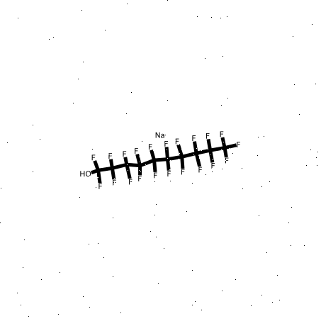 OC(F)(F)C(F)(F)C(F)(F)C(F)(F)C(F)(F)C(F)(F)C(F)(F)C(F)(F)C(F)(F)C(F)(F)F.[Na]